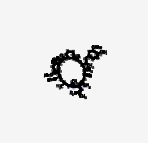 CO[C@H]1C[C@@H](C)C/C(C)=C/C(/C=C(/C)N)=C(/N)C[C@H](O)[C@@H](C)[C@@H](/C(C)=C/[C@@H]2CC[C@@H](O)[C@H](OC)C2)OC(=O)[C@@H]2CCCCN2C(=O)C(=O)[C@]2(O)O[C@H]1[C@@H](OC)C[C@H]2C